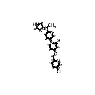 CN(c1ccc(-n2ccc(OCc3ccc(Cl)cn3)cc2=O)cn1)[C@@H]1CCNC1